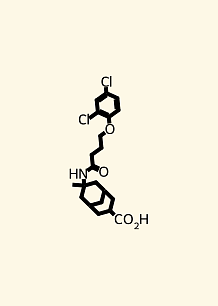 CC1(NC(=O)CCCOc2ccc(Cl)cc2Cl)CC2CC(CC(C(=O)O)C2)C1